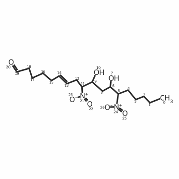 CCCCCC(C(O)CC(O)C(CC=CCCCCC=O)[N+](=O)[O-])[N+](=O)[O-]